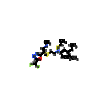 C=C/C(=C\C(=C/C)CC)N(CCS/C(=C\N=C)c1nnc(C(F)F)o1)SCC